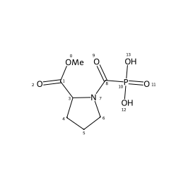 COC(=O)C1CCCN1C(=O)P(=O)(O)O